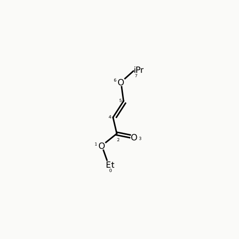 CCOC(=O)/C=C/OC(C)C